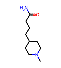 CN1CCC(CCCC(N)=O)CC1